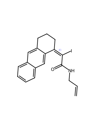 C=CCNC(=O)/C(I)=C1/CCCc2cc3ccccc3cc21